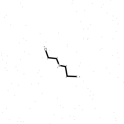 ClCCSCCI